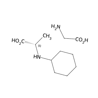 C[C@H](NC1CCCCC1)C(=O)O.NCC(=O)O